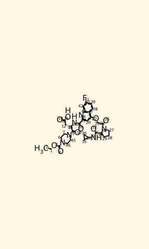 CCOC(=O)N1CCN(C(=O)[C@H](CC(=O)O)NC(=O)c2cc(OCC(=O)N3CCC[C@H]3C(=O)NC3CC3)c3ccc(F)cc3n2)CC1